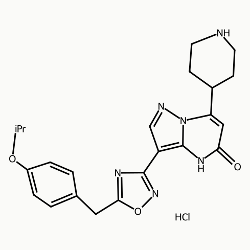 CC(C)Oc1ccc(Cc2nc(-c3cnn4c(C5CCNCC5)cc(=O)[nH]c34)no2)cc1.Cl